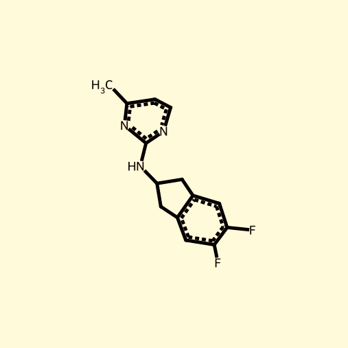 Cc1ccnc(NC2Cc3cc(F)c(F)cc3C2)n1